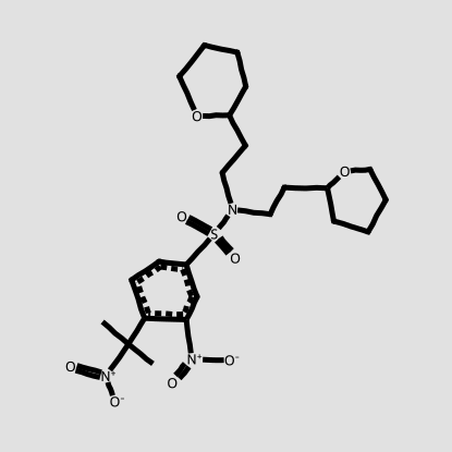 CC(C)(c1ccc(S(=O)(=O)N(CCC2CCCCO2)CCC2CCCCO2)cc1[N+](=O)[O-])[N+](=O)[O-]